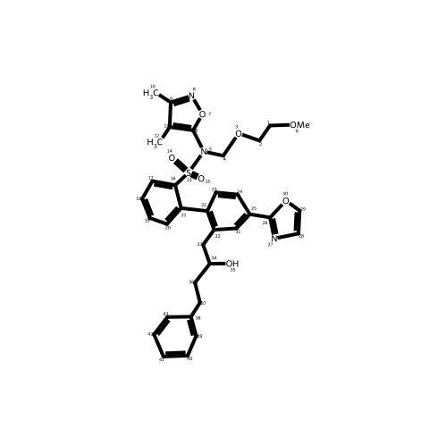 COCCOCN(c1onc(C)c1C)S(=O)(=O)c1ccccc1-c1ccc(-c2ncco2)cc1CC(O)CCc1ccccc1